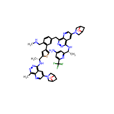 CNCc1ccc(Cc2nnc(N[C@H](C)c3cc(N)cc(C(F)(F)F)n3)c3cc(N4CC5CC(C4)O5)cnc23)cc1-c1csc([C@@H](C)Nc2nnc(C)c3ncc(N4CC5CC(C4)O5)cc23)c1